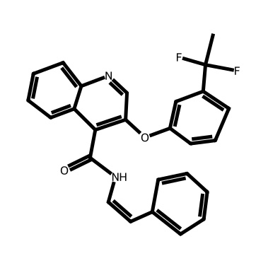 CC(F)(F)c1cccc(Oc2cnc3ccccc3c2C(=O)N/C=C\c2ccccc2)c1